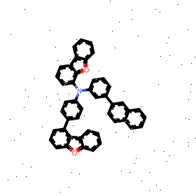 c1cc(-c2ccc3ccccc3c2)cc(N(c2ccc(-c3cccc4oc5ccccc5c34)cc2)c2cccc3c2oc2ccccc23)c1